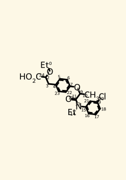 CCOC(Cc1ccc(OC(C)C(=O)N(CC)c2cccc(Cl)c2)cc1)C(=O)O